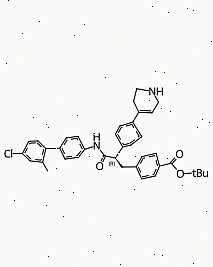 Cc1cc(Cl)ccc1-c1ccc(NC(=O)[C@H](Cc2ccc(C(=O)OC(C)(C)C)cc2)c2ccc(C3=CCNCC3)cc2)cc1